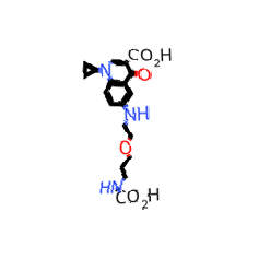 O=C(O)NCCCOCCNc1ccc2c(c1)c(=O)c(C(=O)O)cn2C1CC1